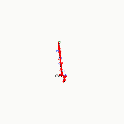 CC(C)(C)c1cc(NC(=O)Nc2ccc(OCCN3CCOCC3)c3ccccc23)n(-c2cccc(CNC(=O)OCCOCCOCCNC(=O)OC/C=C/COC(=O)NCCOCCOCCOC(=O)NCCOCCOCCCCCCCl)c2)n1